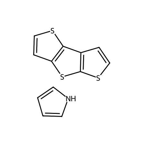 c1cc2c(s1)sc1ccsc12.c1cc[nH]c1